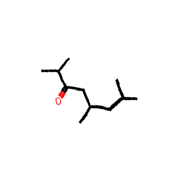 CC(C)CC(C)CC(=O)C(C)C